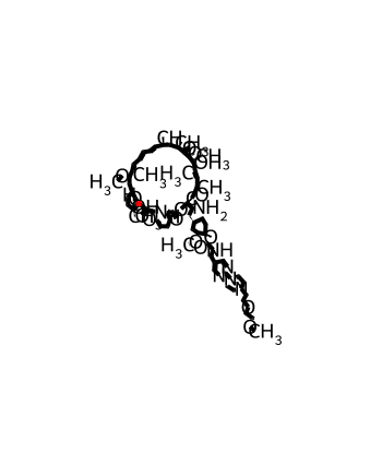 COCCOCCN1CCN(c2ncc(CNC(=O)O[C@@H]3CC[C@@H](C[C@@H](N)[C@@H]4CC(=O)[C@H](C)/C=C(\C)[C@@H](O)[C@@H](OC)C(=O)[C@H](C)C[C@H](C)/C=C/C=C/C=C(\C)[C@@H](OC)C[C@@H]5CC[C@@H](C)[C@@](O)(O5)C(=O)C(=O)N5CCCC[C@H]5C(=O)O4)C[C@H]3OC)cn2)CC1